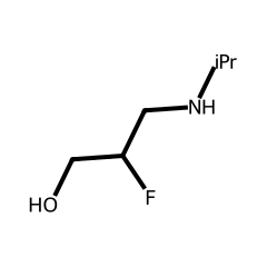 CC(C)NCC(F)CO